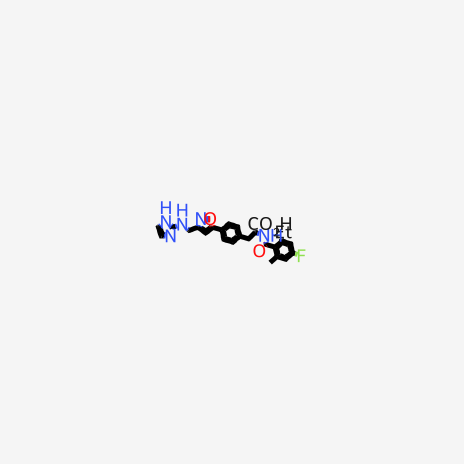 CCc1cc(F)cc(C)c1C(=O)NC(Cc1ccc(-c2cc(CNc3ncc[nH]3)no2)cc1)C(=O)O